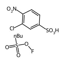 CCCCS(=O)(=O)OF.O=[N+]([O-])c1ccc(S(=O)(=O)O)cc1Cl